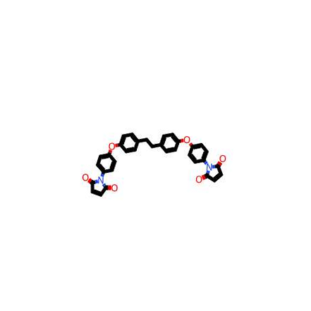 O=C1C=CC(=O)N1c1ccc(Oc2ccc(CCc3ccc(Oc4ccc(N5C(=O)C=CC5=O)cc4)cc3)cc2)cc1